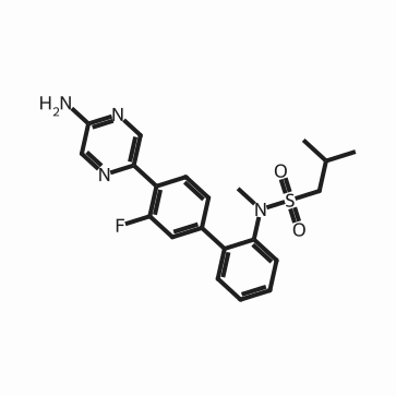 CC(C)CS(=O)(=O)N(C)c1ccccc1-c1ccc(-c2cnc(N)cn2)c(F)c1